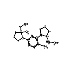 Nc1ccc(N2CCCC2(O)CO)nc1N1CCCC1NC=O